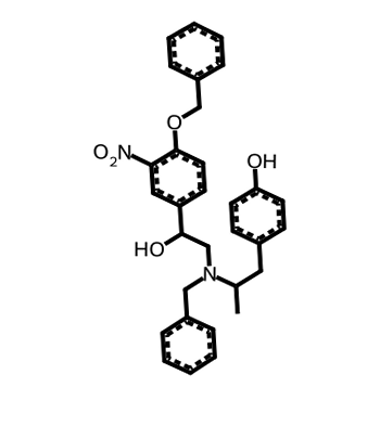 CC(Cc1ccc(O)cc1)N(Cc1ccccc1)CC(O)c1ccc(OCc2ccccc2)c([N+](=O)[O-])c1